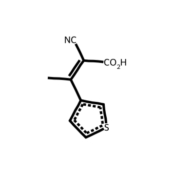 C/C(=C(\C#N)C(=O)O)c1ccsc1